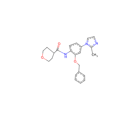 Cc1nccn1-c1ccc(NC(=O)C2CCOCC2)c(OCc2ccccc2)c1